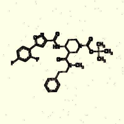 CN(CCc1ccccc1)C(=O)C1CN(C(=O)OC(C)(C)C)CCC1NC(=O)c1cc(-c2ccc(F)cc2F)on1